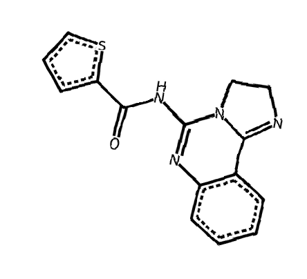 O=C(NC1=Nc2ccccc2C2=NCCN12)c1cccs1